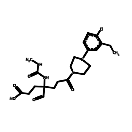 CCc1cc(N2CCN(C(=O)CCC(C=O)(CCC(=O)O)NC(=O)NC)CC2)ccc1Cl